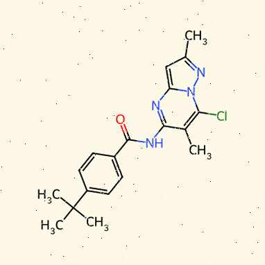 Cc1cc2nc(NC(=O)c3ccc(C(C)(C)C)cc3)c(C)c(Cl)n2n1